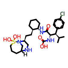 CC(C)[C@H](c1ccc(Cl)cc1)[C@H](NC(=O)O)C(=O)N[C@H]1CCCC[C@@H]1CC[C@H]1CN[C@@H]2CCCS(O)(O)N1C2